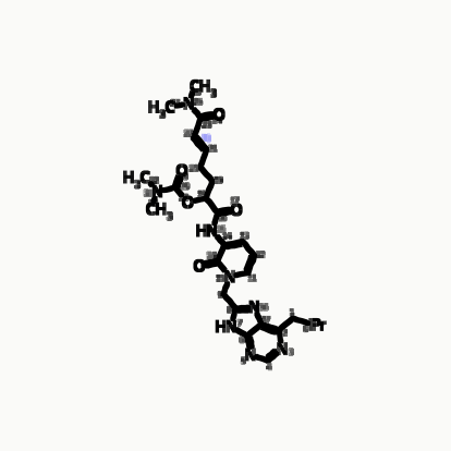 CC(C)Cc1ncnc2[nH]c(Cn3cccc(NC(=O)C(CC/C=C/C(=O)N(C)C)OC(=O)N(C)C)c3=O)nc12